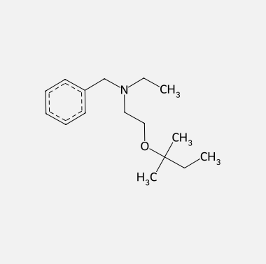 CCN(CCOC(C)(C)CC)Cc1ccccc1